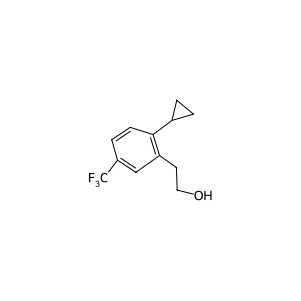 OCCc1cc(C(F)(F)F)ccc1C1CC1